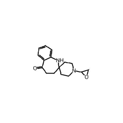 O=C1CCC2(CCN(C3CO3)CC2)Nc2ccccc21